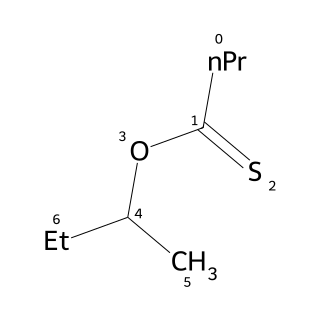 CCCC(=S)OC(C)CC